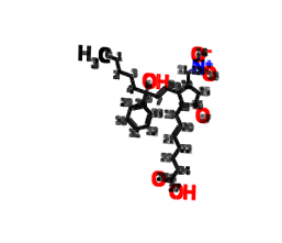 CCCCCC(O)(C=CC1C(C[N+](=O)[O-])CC(=O)C1CC=CCCCC(=O)O)c1ccccc1